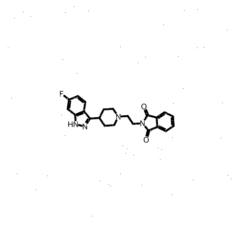 O=C1c2ccccc2C(=O)N1CCN1CCC(c2n[nH]c3cc(F)ccc23)CC1